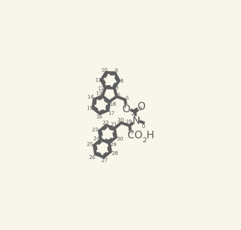 CN(C(=O)OCC1c2ccccc2-c2ccccc21)C(Cc1ccc2ccccc2c1)C(=O)O